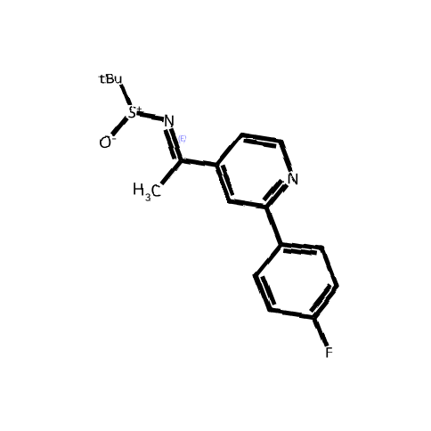 C/C(=N\[S+]([O-])C(C)(C)C)c1ccnc(-c2ccc(F)cc2)c1